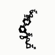 CCOC(=O)Nc1cccc(N2CCN(BOC)CC2)c1